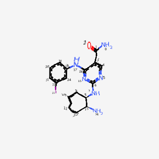 NC(=O)c1cnc(N[C@@H]2CCCC[C@@H]2N)nc1Nc1cccc(I)c1